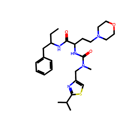 CCC(Cc1ccccc1)NC(=O)C(CCN1CCOCC1)NC(=O)N(C)Cc1csc(C(C)C)n1